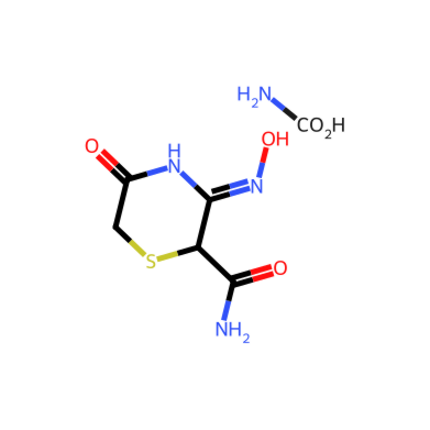 NC(=O)C1SCC(=O)NC1=NO.NC(=O)O